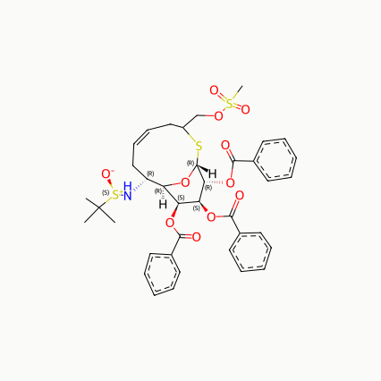 CC(C)(C)[S@@+]([O-])N[C@@H]1CC=CCC(COS(C)(=O)=O)S[C@H]2O[C@H]1[C@H](OC(=O)c1ccccc1)[C@H](OC(=O)c1ccccc1)[C@H]2OC(=O)c1ccccc1